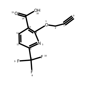 C#CCOc1nc(C(F)(F)F)ccc1C(=O)O